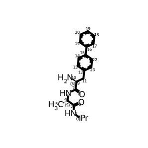 CC(C)NC(=O)[C@H](C)NC(=O)[C@@H](N)Cc1ccc(-c2ccccc2)cc1